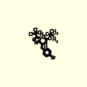 CC(C)(C)OC(=O)NC(Cc1ccc(Br)cc1)c1noc(C(Cl)(Cl)Cl)n1